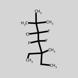 CCC(C)(CC)C(F)(F)C(F)(Cl)C(C)(C)C